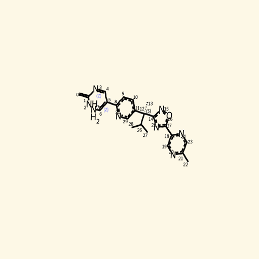 C=C(N)/N=C\C(=C/N)c1ccc([C@@](C)(c2noc(-c3cnc(C)cn3)n2)C(C)C)cn1